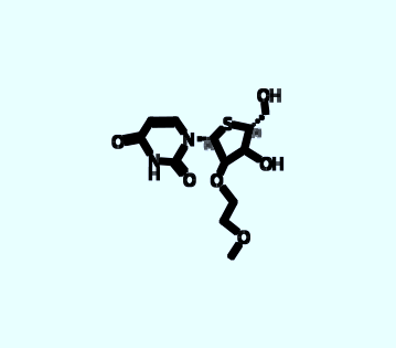 COCCOC1C(O)[C@@H](CO)S[C@H]1n1ccc(=O)[nH]c1=O